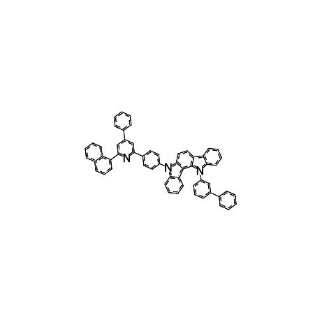 c1ccc(-c2cccc(-n3c4ccccc4c4ccc5c(c6ccccc6n5-c5ccc(-c6cc(-c7ccccc7)cc(-c7cccc8ccccc78)n6)cc5)c43)c2)cc1